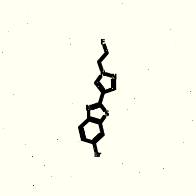 FCCn1cc(-c2nc3ccc(Br)cc3s2)cn1